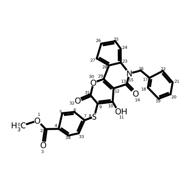 COC(=O)c1ccc(Sc2c(O)c3c(=O)n(Cc4ccccc4)c4ccccc4c3oc2=O)cc1